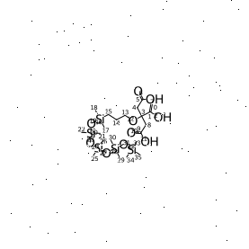 C=C(O)C(CC(=O)O)(CC(=O)O)OCCC[Si](C)(C)O[Si](C)(C)O[Si](C)(C)O[Si](C)(C)O[Si](C)(C)C